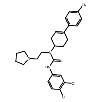 N#Cc1ccc(C2=CCC(N(CCN3CCCC3)C(=O)Nc3ccc(Cl)c(Cl)c3)CC2)cc1